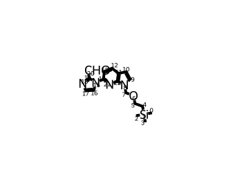 C[Si](C)(C)CCOCn1ccc2ccc(-n3ccnc3C=O)nc21